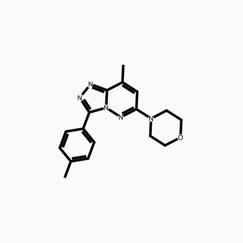 Cc1ccc(-c2nnc3c(C)cc(N4CCOCC4)nn23)cc1